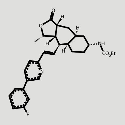 CCOC(=O)N[C@@H]1CC[C@@H]2[C@H](C1)C[C@H]1C(=O)O[C@@H](C)[C@H]1[C@@H]2/C=C/c1ccc(-c2cccc(F)c2)cn1